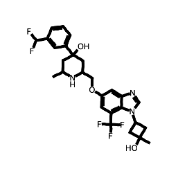 CC1CC(O)(c2cccc(C(F)F)c2)CC(COc2cc(C(F)(F)F)c3c(c2)ncn3C2CC(C)(O)C2)N1